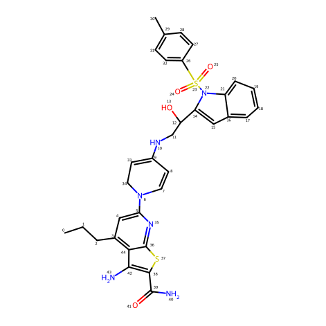 CCCc1cc(N2C=CC(NCC(O)c3cc4ccccc4n3S(=O)(=O)c3ccc(C)cc3)=CC2)nc2sc(C(N)=O)c(N)c12